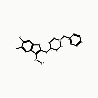 Cc1cc2c(cc1C)C(OC(C)C)=C(CC1CCN(Cc3ccccc3)CC1)C2